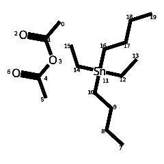 CC(=O)OC(C)=O.CCC[CH2][Sn]([CH2]C)([CH2]C)[CH2]CCC